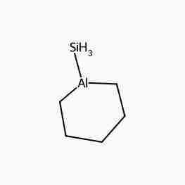 [SiH3][Al]1[CH2]CCC[CH2]1